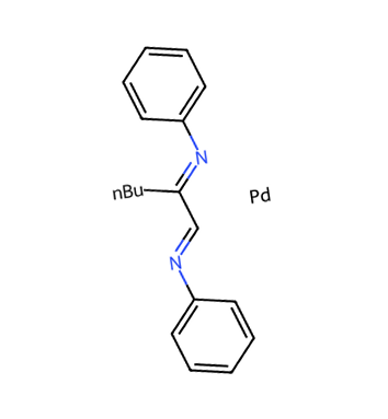 CCCCC(/C=N/c1ccccc1)=N\c1ccccc1.[Pd]